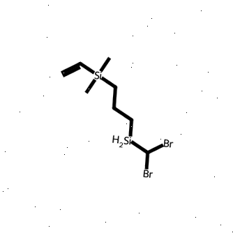 C=C[Si](C)(C)CCC[SiH2]C(Br)Br